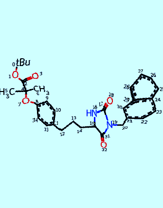 CC(C)(C)OC(=O)C(C)(C)Oc1ccc(CCCC2NC(=O)N(Cc3ccc4ccccc4c3)C2=O)cc1